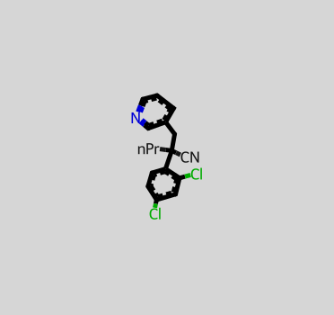 CCCC(C#N)(Cc1cccnc1)c1ccc(Cl)cc1Cl